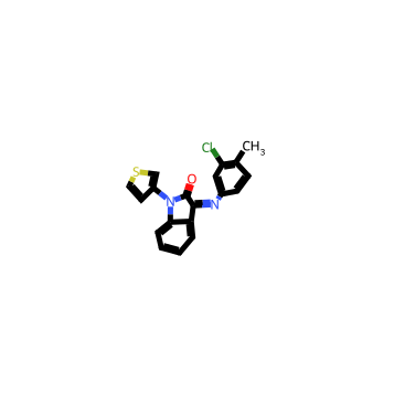 Cc1ccc(N=C2C(=O)N(c3ccsc3)c3ccccc32)cc1Cl